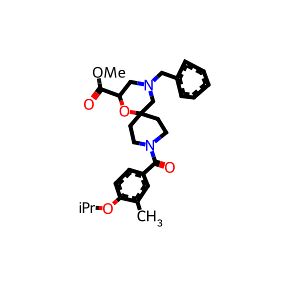 COC(=O)C1CN(Cc2ccccc2)CC2(CCN(C(=O)c3ccc(OC(C)C)c(C)c3)CC2)O1